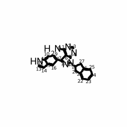 Nc1ncnc2c1c(-c1ccc3[nH]ccc3c1)nn2C1Cc2ccccc2C1